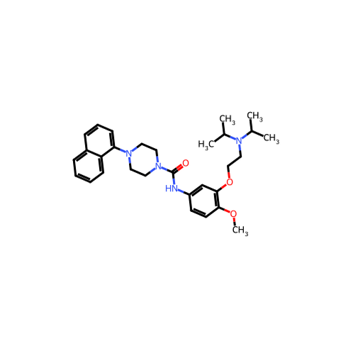 COc1ccc(NC(=O)N2CCN(c3cccc4ccccc34)CC2)cc1OCCN(C(C)C)C(C)C